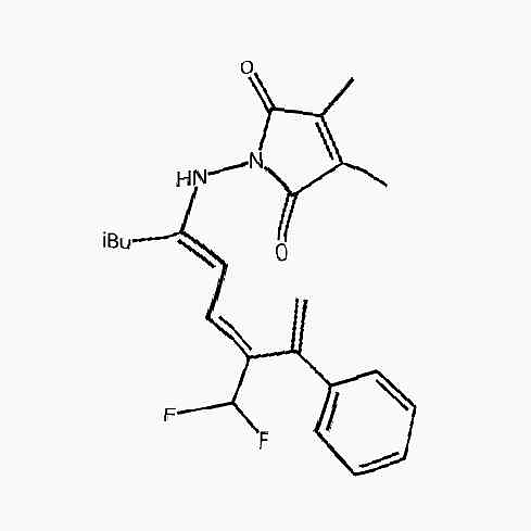 C=C(/C(=C\C=C(\NN1C(=O)C(C)=C(C)C1=O)C(C)CC)C(F)F)c1ccccc1